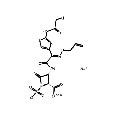 C=CCO/N=C(/C(=O)N[C@H]1C(=O)N(S(=O)(=O)[O-])[C@H]1C(=O)OC)c1csc(NC(=O)CCl)n1.[Na+]